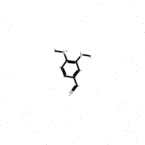 COc1cc(C=O)ccc1SC